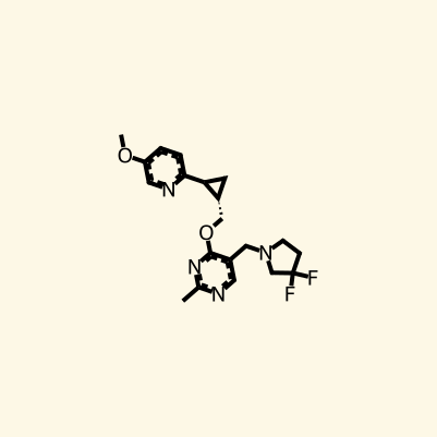 COc1ccc(C2C[C@@H]2COc2nc(C)ncc2CN2CCC(F)(F)C2)nc1